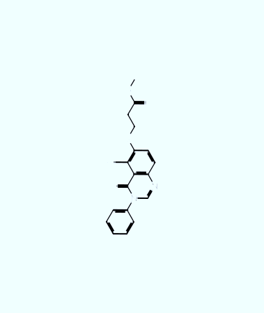 COC(=O)CCSc1ccc2ncn(-c3ccccc3)c(=O)c2c1Cl